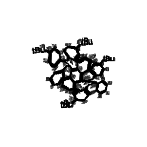 CC(C)(C)c1ccc(S(c2ccccc2)(c2ccc(C(C)(C)C)cc2)c2c3ccccc3c(S(c3ccccc3)(c3ccc(C(C)(C)C)cc3)c3ccc(C(C)(C)C)cc3)c3ccccc23)cc1